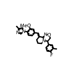 COc1cc(/C=C2\CCCN3C2=NOCC3c2ccc(F)c(C)c2)ccc1-n1cnc(C)c1